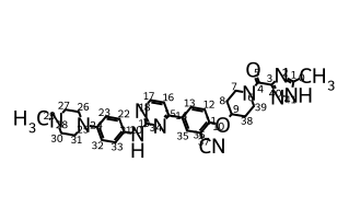 Cc1nc(C(=O)N2CCC(Oc3ccc(-c4ccnc(Nc5ccc(N6CCN(C)CC6)cc5)n4)cc3C#N)CC2)n[nH]1